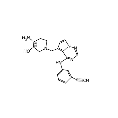 C#Cc1cccc(Nc2ncnn3ccc(CN4CC[C@@H](N)[C@H](O)C4)c23)c1